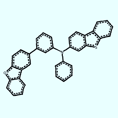 c1ccc(N(c2cccc(-c3ccc4oc5ccccc5c4c3)c2)c2ccc3c(c2)sc2ccccc23)cc1